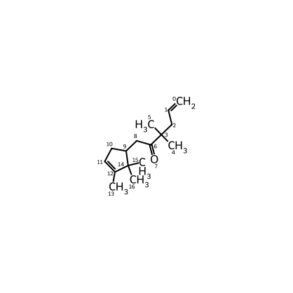 C=CCC(C)(C)C(=O)CC1CC=C(C)C1(C)C